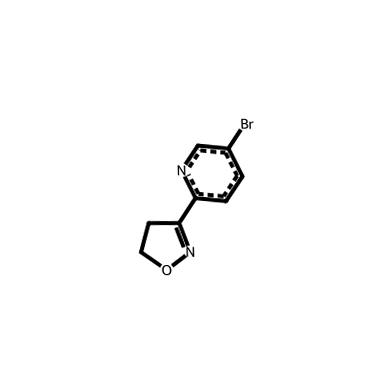 Brc1ccc(C2=NOCC2)nc1